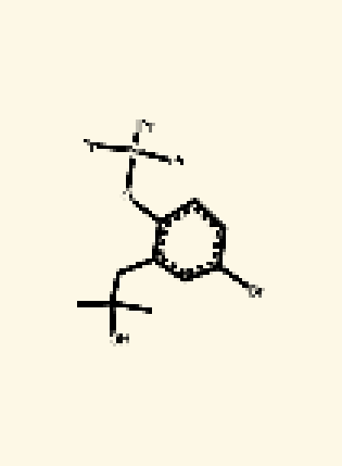 CC(C)[Si](Oc1ccc(Br)cc1CC(C)(C)O)(C(C)C)C(C)C